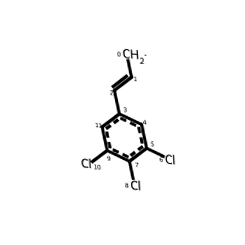 [CH2]C=Cc1cc(Cl)c(Cl)c(Cl)c1